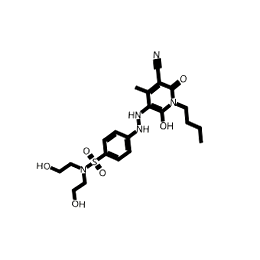 CCCCn1c(O)c(NNc2ccc(S(=O)(=O)N(CCO)CCO)cc2)c(C)c(C#N)c1=O